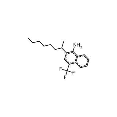 CCCCCCC(C)c1cc(C(F)(F)F)c2ccccc2c1N